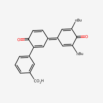 CCCCC1=CC(=C2C=CC(=O)C(c3cccc(C(=O)O)c3)=C2)C=C(CCCC)C1=O